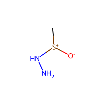 C[S+]([O-])NN